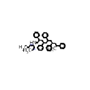 C=C/C=C(\C=C/C)NCC(CC(CC(CC(CC(C)c1ccccc1)c1ccccc1)c1ccccc1)c1ccccc1)c1ccccc1